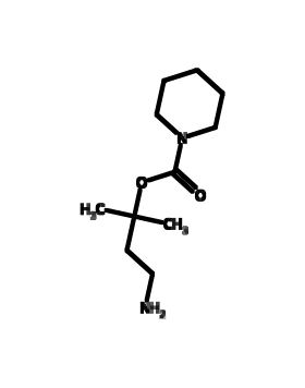 CC(C)(CCN)OC(=O)N1CCCCC1